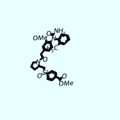 COC(=O)c1ccc([S+]([O-])CC2CCCN2C(=O)Cc2ccc(N(C(N)=O)c3ccccc3C)c(OC)c2)cc1